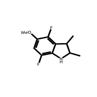 COc1cc(F)c2c(c1F)C(C)C(C)N2